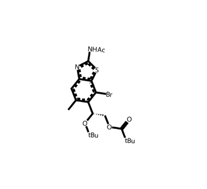 CC(=O)Nc1nc2cc(C)c([C@H](COC(=O)C(C)(C)C)OC(C)(C)C)c(Br)c2s1